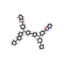 c1ccc(-c2ccc(N(c3ccc(-c4ccc(N(c5ccc(-c6nc7ccccc7o6)cc5)c5ccc6cc(-c7ccccc7)ccc6c5)cc4)cc3)c3ccc(-c4nc5ccccc5o4)cc3)cc2)cc1